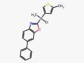 CC[Si](C)(c1csc(C)c1)c1nc2ccc(-c3ccccc3)cc2o1